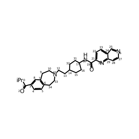 CC(C)C(=O)c1ccc2c(c1)CCN(CCC1CCC(NC(=O)c3ccc4cnccc4n3)CC1)CC2